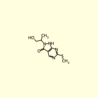 CSc1ncc2c(=O)n(C(C)CO)[nH]c2n1